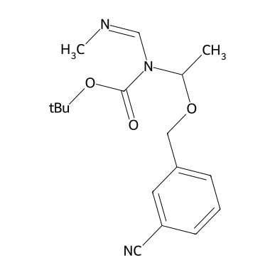 C/N=C\N(C(=O)OC(C)(C)C)C(C)OCc1cccc(C#N)c1